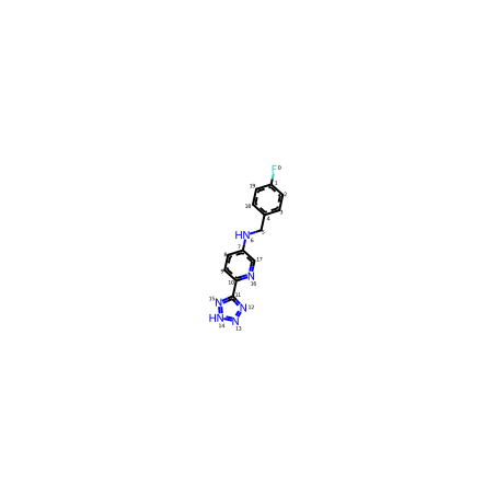 Fc1ccc(CNc2ccc(-c3nn[nH]n3)nc2)cc1